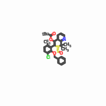 CC(C)(C)C(=O)OC1=C(c2c(C(F)(F)F)ccc(Cl)c2OCc2ccccc2)S(=S=O)C(C)(C)c2ncccc21